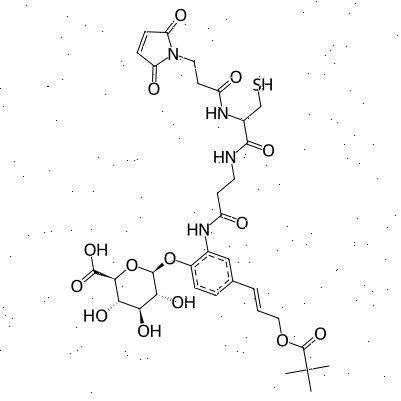 CC(C)(C)C(=O)OC/C=C/c1ccc(O[C@@H]2O[C@H](C(=O)O)[C@@H](O)[C@H](O)[C@H]2O)c(NC(=O)CCNC(=O)C(CS)NC(=O)CCN2C(=O)C=CC2=O)c1